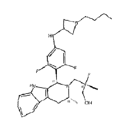 CCCCN1CC(Nc2cc(F)c([C@@H]3c4[nH]c5ccccc5c4C[C@@H](C)N3C[C@](C)(F)CO)c(F)c2)C1